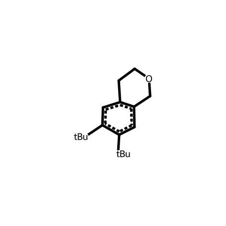 CC(C)(C)c1cc2c(cc1C(C)(C)C)COCC2